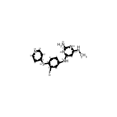 CNc1cc(Nc2ccc(Sc3ccncc3)c(F)c2)nc(N)n1